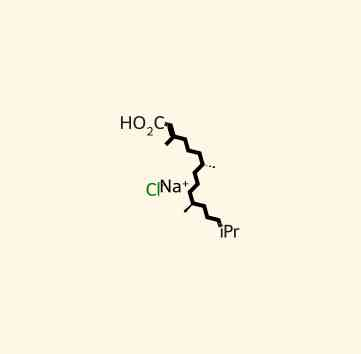 C/C(=C\C(=O)O)CCC[C@H](C)CCC[C@H](C)CCCC(C)C.[Cl-].[Na+]